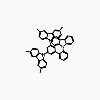 Cc1ccc2c(c1)c1cc(C)ccc1n2-c1cc(-c2ccccc2-n2c3ccccc3c3ccccc32)cc(-n2c3ccc(C)cc3c3cc(C)ccc32)c1